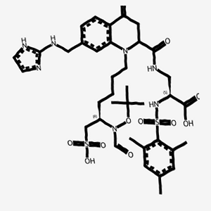 Cc1cc(C)c(S(=O)(=O)N[C@@H](CNC(=O)C2CC(=O)c3ccc(CNc4ncc[nH]4)cc3N2CCCC[C@H](CS(=O)(=O)O)N(C=O)OC(C)(C)C)C(=O)O)c(C)c1